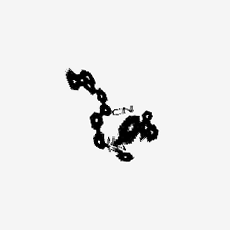 N#Cc1cc(-c2cccc(-c3cccc(-c4nc(-c5ccccc5)nc(-c5cccc(-c6cc7ccccc7c7ccccc67)c5)n4)c3)c2)cc(-c2cccc(-c3ccc4c5c(cccc35)-c3ccccc3-4)c2)c1